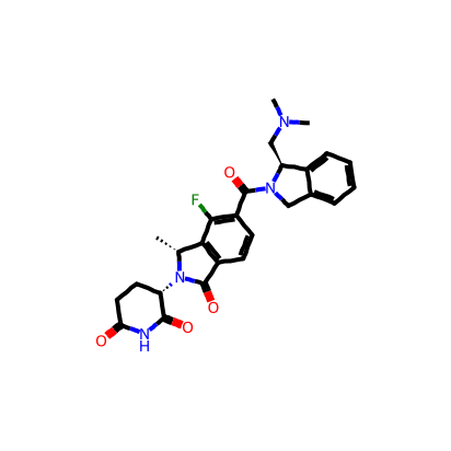 C[C@@H]1c2c(ccc(C(=O)N3Cc4ccccc4[C@@H]3CN(C)C)c2F)C(=O)N1[C@H]1CCC(=O)NC1=O